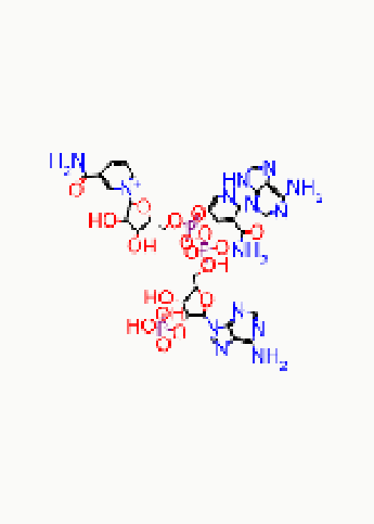 NC(=O)c1ccc[n+]([C@@H]2O[C@H](COP(=O)([O-])OP(=O)(O)OC[C@H]3O[C@@H](n4cnc5c(N)ncnc54)[C@H](OP(=O)(O)O)[C@@H]3O)[C@@H](O)[C@H]2O)c1.NC(=O)c1cccnc1.Nc1ncnc2[nH]cnc12